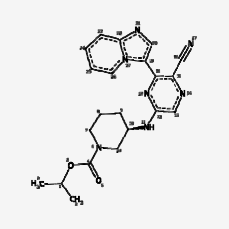 CC(C)OC(=O)N1CCC[C@@H](Nc2cnc(C#N)c(-c3cnc4ccccn34)n2)C1